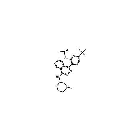 CN1CCC[C@@H](Nc2nnc(-c3ccc(C(F)(F)F)nc3OC(F)F)c3ccncc23)C1